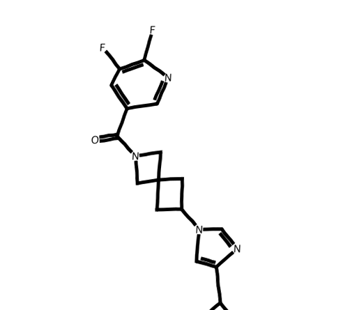 O=C(c1cnc(F)c(F)c1)N1CC2(CC(n3cnc(C4CC4)c3)C2)C1